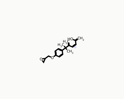 C=C(O)/C=C\C(=C)C(C)(C)c1ccc(OCC2CO2)cc1